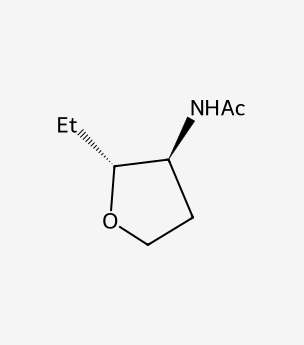 CC[C@H]1OCC[C@@H]1NC(C)=O